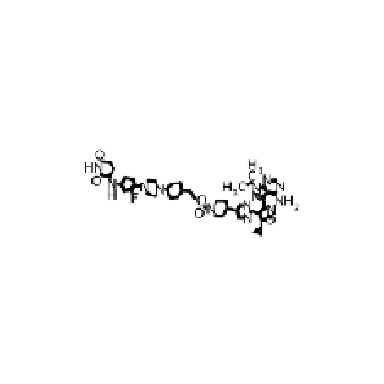 CC(C)n1nc(-c2noc(C3CC3)c2-c2ncc(C3CCN(C(=O)OCCC4CCC(N5CCN(c6ccc(N[C@@H]7CCC(=O)NC7=O)cc6F)CC5)CC4)CC3)cn2)c2c(N)ncnc21